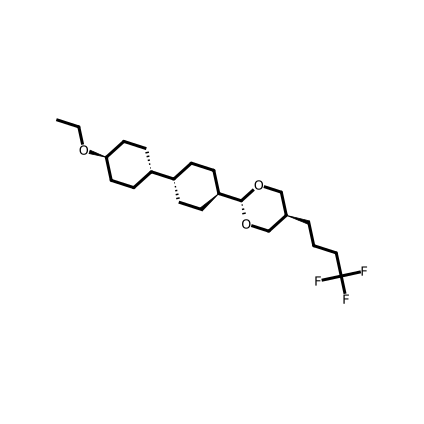 CCO[C@H]1CC[C@H]([C@H]2CC[C@H]([C@H]3OC[C@H](CCCC(F)(F)F)CO3)CC2)CC1